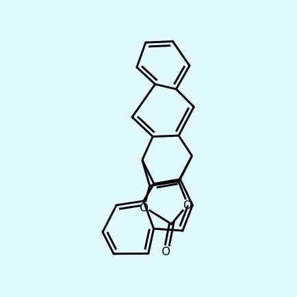 O=C1OC2C3c4cc5ccccc5cc4C(c4c3ccc3ccccc43)C2O1